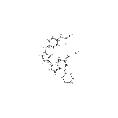 Cl.O=c1cc(C2CCNCC2)n2ncc(-c3nnc(Cc4ccc(OC(F)F)cc4)o3)c2[nH]1